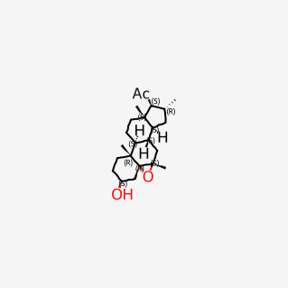 CC(=O)[C@H]1[C@H](C)C[C@H]2[C@@H]3C[C@]4(C)O[C@@]45C[C@@H](O)CC[C@]5(C)[C@H]3CC[C@@]21C